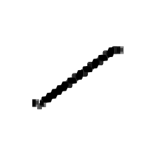 CCCCCCCCCCOCCOCCOCCOCCOCCOCCO